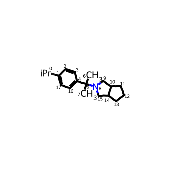 CC(C)c1ccc(C(C)(C)N2CC3CCCC3C2)cc1